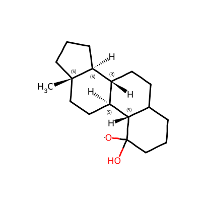 C[C@@]12CCC[C@H]1[C@@H]1CCC3CCCC([O])(O)[C@@H]3[C@H]1CC2